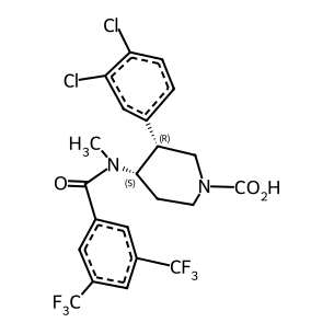 CN(C(=O)c1cc(C(F)(F)F)cc(C(F)(F)F)c1)[C@H]1CCN(C(=O)O)C[C@H]1c1ccc(Cl)c(Cl)c1